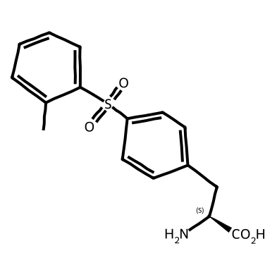 Cc1ccccc1S(=O)(=O)c1ccc(C[C@H](N)C(=O)O)cc1